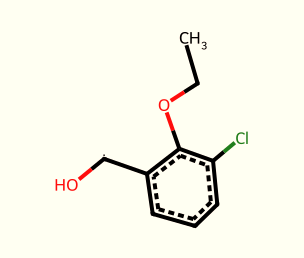 CCOc1c(Cl)cccc1[CH]O